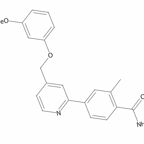 COc1cccc(OCc2ccnc(-c3ccc(C(N)=O)c(C)c3)c2)c1